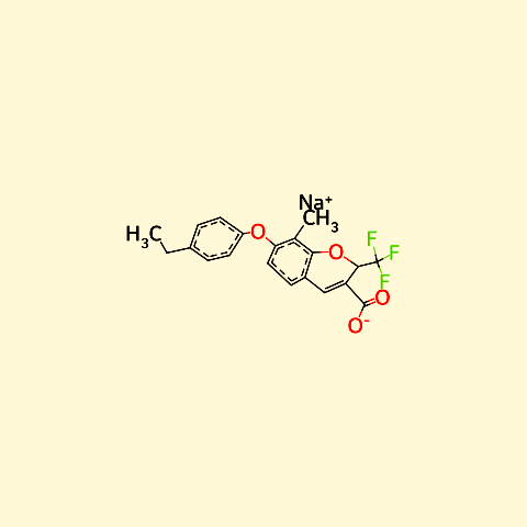 CCc1ccc(Oc2ccc3c(c2C)OC(C(F)(F)F)C(C(=O)[O-])=C3)cc1.[Na+]